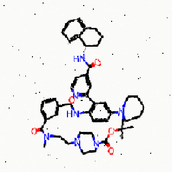 CN(CCN1CCN(C(=O)OC(C)(C)C)CC1)C(=O)c1cccc(C(=O)Nc2ccc(N3CCCCC3)cc2-c2cc(C(=O)N[C@H]3CCCc4ccccc43)ccn2)c1